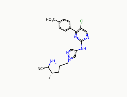 C[C@@H](CCCn1cc(Nc2ncc(Cl)c(-c3ccc(C(=O)O)cc3)n2)cn1)[C@H](N)C#N